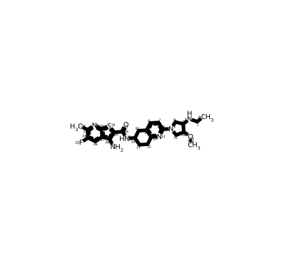 CCNC1CN(c2ccc3c(n2)CCC(NC(=O)c2sc4nc(C)c(F)cc4c2N)C3)CC1OC